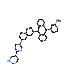 CC(C)(C)c1cccc(-c2c3ccccc3c(-c3ccc4ccc(-c5ccc(C6=CNCC=C6)nc5)cc4c3)c3ccccc23)c1